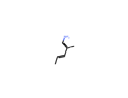 CC=CC(C)=CN